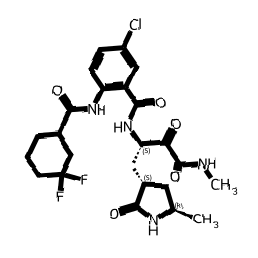 CNC(=O)C(=O)[C@H](C[C@@H]1C[C@@H](C)NC1=O)NC(=O)c1cc(Cl)ccc1NC(=O)C1CCCC(F)(F)C1